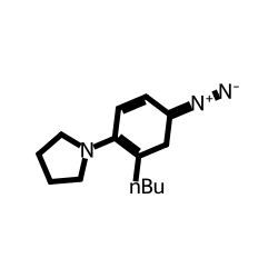 CCCCC1=C(N2CCCC2)C=CC(=[N+]=[N-])C1